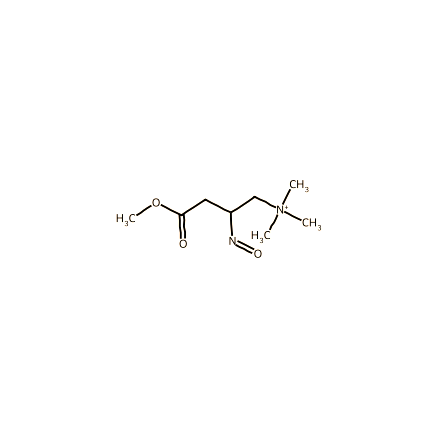 COC(=O)CC(C[N+](C)(C)C)N=O